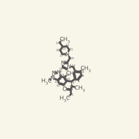 CCC(=O)C(C)[C@H](c1ccc(C)c(Cn2ccnc2CN2CCC(CC)CC2)c1)c1ccc2c(nnn2C)c1C